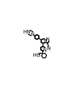 N#Cc1cnn2cc(-c3ccc(N4CCNCC4)cc3)cc(-c3ccc(C4(CO)CCCCC4)nc3)c12